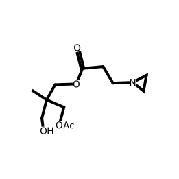 CC(=O)OCC(C)(CO)COC(=O)CCN1CC1